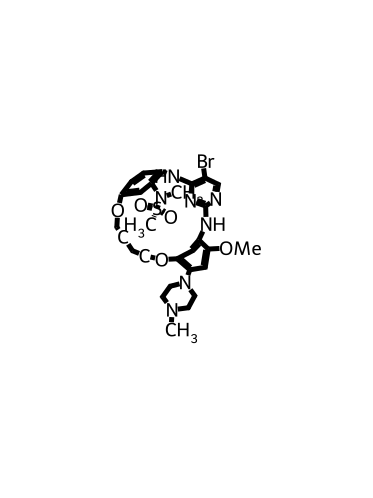 COc1cc(N2CCN(C)CC2)c2cc1Nc1ncc(Br)c(n1)Nc1ccc(cc1N(C)S(C)(=O)=O)OCCCCO2